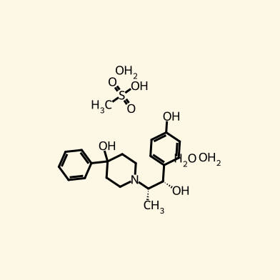 CS(=O)(=O)O.C[C@@H]([C@@H](O)c1ccc(O)cc1)N1CCC(O)(c2ccccc2)CC1.O.O.O